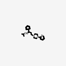 CC(C)ON=C(CCN1CCN(c2ccccn2)CC1)c1ccccc1